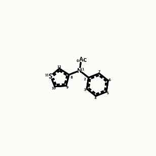 CC(=O)N(c1ccccc1)c1ccsc1